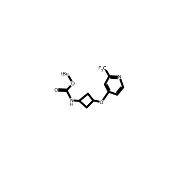 CC(C)(C)OC(=O)NC1CC(Oc2ccnc(C(F)(F)F)c2)C1